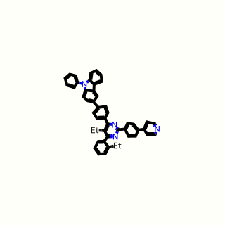 CCc1ccccc1-c1nc(-c2ccc(-c3ccncc3)cc2)nc(-c2ccc(-c3ccc4c(c3)c3ccccc3n4-c3ccccc3)cc2)c1CC